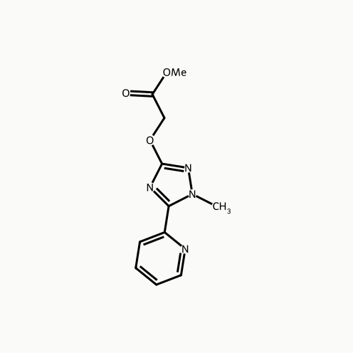 COC(=O)COc1nc(-c2ccccn2)n(C)n1